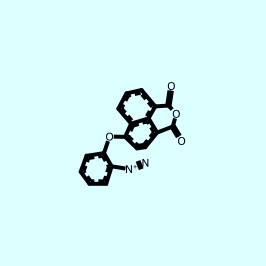 N#[N+]c1ccccc1Oc1ccc2c3c(cccc13)C(=O)OC2=O